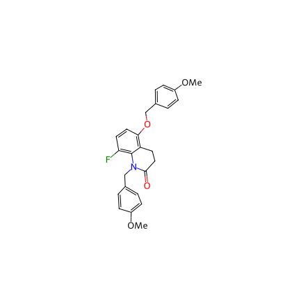 COc1ccc(COc2ccc(F)c3c2CCC(=O)N3Cc2ccc(OC)cc2)cc1